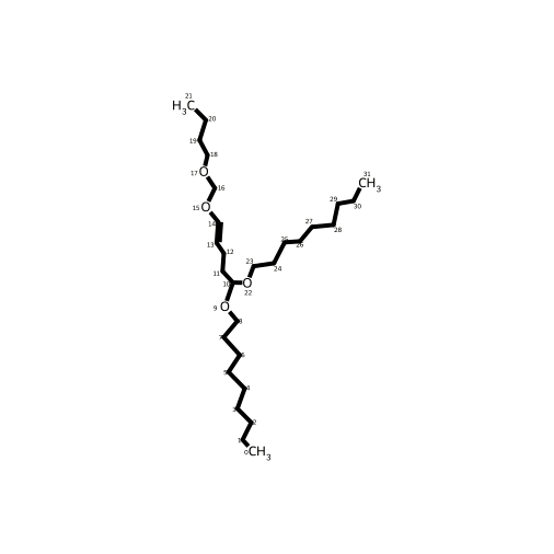 CCCCCCCCCOC(CCC=COCOCCCC)OCCCCCCCCC